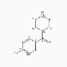 C=C(c1ccc(C)nc1)N1CCOCC1